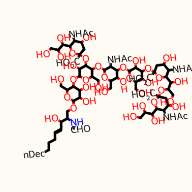 CCCCCCCCCCCCCC=CC(O)C(COC1OC(CO)C(OC2OC(CO)C(OC3OC(CO)C(O)C(OC4OC(CO)C(O)C(OC5(C(=O)O)CC(O)C(NC(C)=O)C(C(O)C(CO)OC6(C(=O)O)CC(O)C(NC(C)=O)C(C(O)C(O)CO)O6)O5)C4O)C3NC(C)=O)C(OC3(C(=O)O)CC(O)C(NC(C)=O)C(C(O)C(O)CO)O3)C2O)C(O)C1O)NC=O